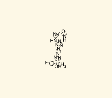 CC(O)(c1ccc(F)cc1)c1cnc(N2CCN(c3ncnc(Nc4cnn(C[C@@H]5CNCCO5)c4)n3)CC2)nc1